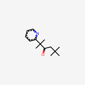 CC(C)(C)CC(=O)C(C)(C)c1ccccn1